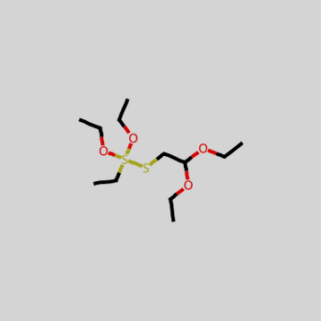 CCOC(CSS(CC)(OCC)OCC)OCC